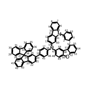 c1ccc(-n2c3ccccc3c3ccc(N(c4ccc(-c5ccc6c(c5)C5(c7ccccc7-c7ccccc75)c5ccccc5-6)cc4)c4ccc5oc6ccccc6c5c4)cc32)cc1